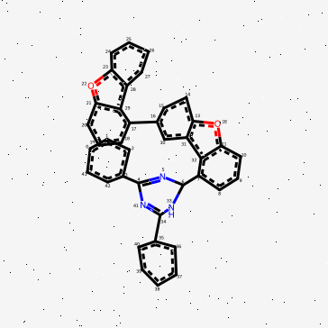 c1ccc(C2=NC(c3cccc4oc5ccc(-c6cccc7oc8ccccc8c67)cc5c34)NC(c3ccccc3)=N2)cc1